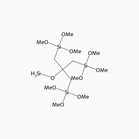 CO[Si](CC(C[Si](OC)(OC)OC)(C[Si](OC)(OC)OC)O[SiH3])(OC)OC